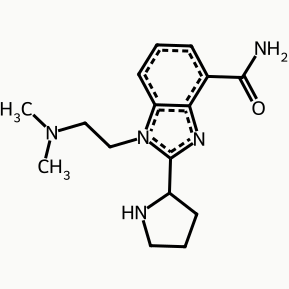 CN(C)CCn1c(C2CCCN2)nc2c(C(N)=O)cccc21